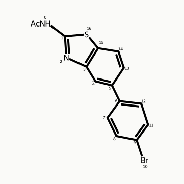 CC(=O)Nc1nc2[c]c(-c3ccc(Br)cc3)ccc2s1